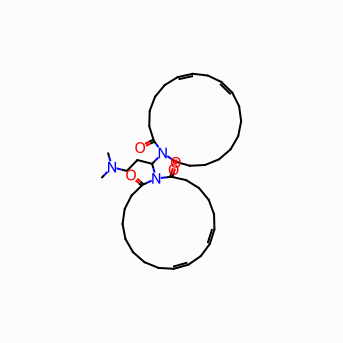 CN(C)CCC(N1C(=O)CCCCC=CCC=CCCCCCCCC1=O)N1C(=O)CCCCC=CCC=CCCCCCCCC1=O